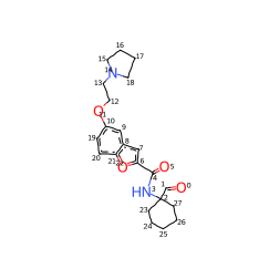 O=CC1(NC(=O)c2cc3cc(OCCN4CCCC4)ccc3o2)CCCCC1